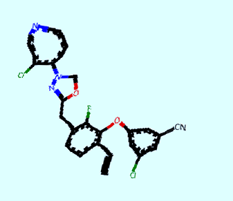 C=Cc1ccc(CC2=NN(c3ccncc3Cl)CO2)c(F)c1Oc1cc(Cl)cc(C#N)c1